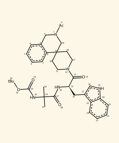 CC(=O)N1Cc2ccccc2C2(CCN(C(=O)[C@@H](Cc3c[nH]c4ccccc34)NC(=O)C(C)(C)NC(=O)OC(C)(C)C)CC2)C1